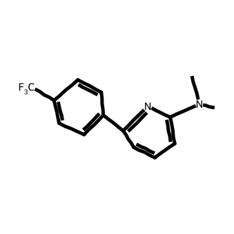 CN(C)c1cccc(-c2ccc(C(F)(F)F)cc2)n1